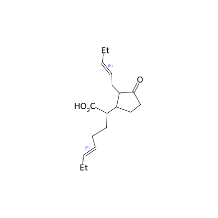 CC/C=C/CCC(C(=O)O)C1CCC(=O)C1C/C=C/CC